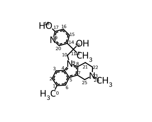 Cc1ccc2c(c1)c1c(n2CC(C)(O)c2ccc(O)nc2)CCN(C)C1